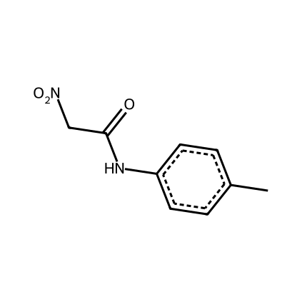 Cc1ccc(NC(=O)C[N+](=O)[O-])cc1